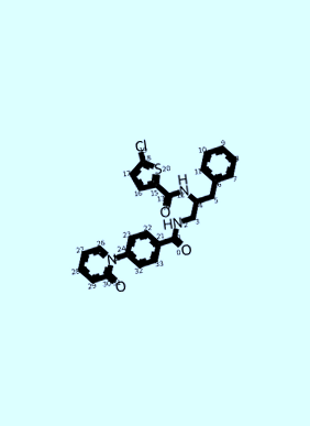 O=C(NCC(Cc1ccccc1)NC(=O)c1ccc(Cl)s1)c1ccc(-n2ccccc2=O)cc1